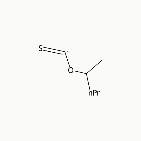 CCCC(C)O[C]=S